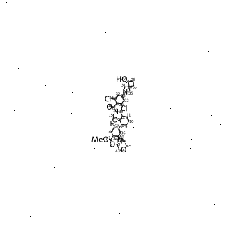 COC(=O)c1cc(F)c(-c2cccc3c2OCN(C(=O)c2c(Cl)cc(N4CC5(CC[C@H]5O)C4)cc2Cl)C3)cc1N1C2CCC1COC2